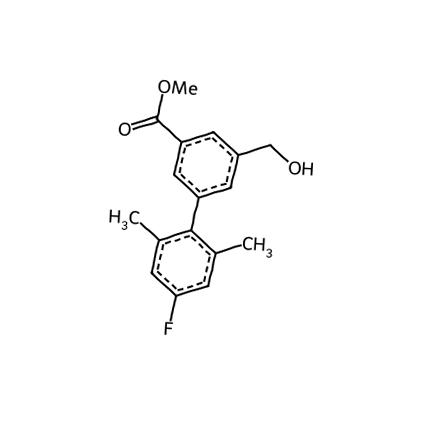 COC(=O)c1cc(CO)cc(-c2c(C)cc(F)cc2C)c1